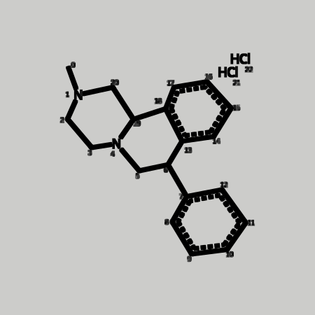 CN1CCN2CC(c3ccccc3)c3ccccc3C2C1.Cl.Cl